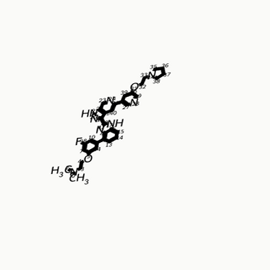 CN(C)CCOc1cc(F)cc(-c2cccc3[nH]c(-c4n[nH]c5cnc(-c6cncc(OCCN7CCCC7)c6)cc45)nc23)c1